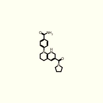 NC(=O)c1ccc(N2CCCC3=C2NCC(C(=O)N2CCCC2)=C3)cc1